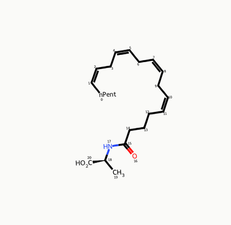 CCCCC/C=C\C/C=C\C/C=C\C/C=C\CCCC(=O)N[C@@H](C)C(=O)O